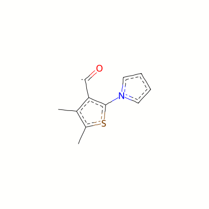 Cc1sc(-n2cccc2)c([C]=O)c1C